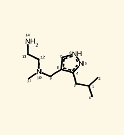 CC(C)Cc1n[nH]cc1CN(C)CCN